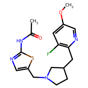 COc1cnc(CC2CCN(Cc3cnc(NC(C)=O)s3)C2)c(F)c1